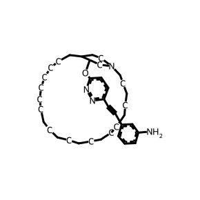 Nc1cccc(C#Cc2ccc(OC3CN4CCCCCCCCCCCCCCCCCCCCCC3CC4)nn2)c1